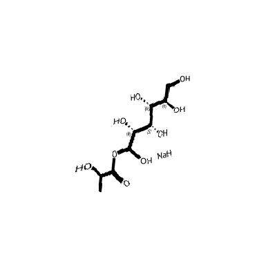 CC(O)C(=O)OC(O)[C@H](O)[C@@H](O)[C@H](O)[C@H](O)CO.[NaH]